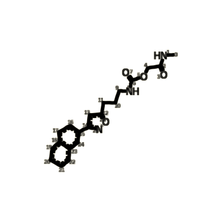 CNC(=O)COC(=O)NCCCc1cc(-c2ccc3ccccc3c2)no1